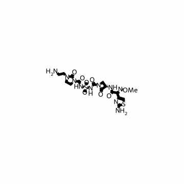 CON=C(C(=O)N[C@H]1CN(C(=O)NS(=O)(=O)NC(=O)N2CCN(CCN)C2=O)C1=O)c1csc(N)n1